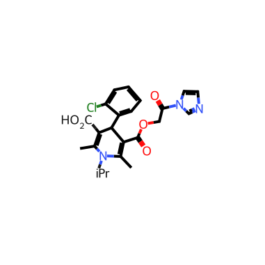 CC1=C(C(=O)O)C(c2ccccc2Cl)C(C(=O)OCC(=O)n2ccnc2)=C(C)N1C(C)C